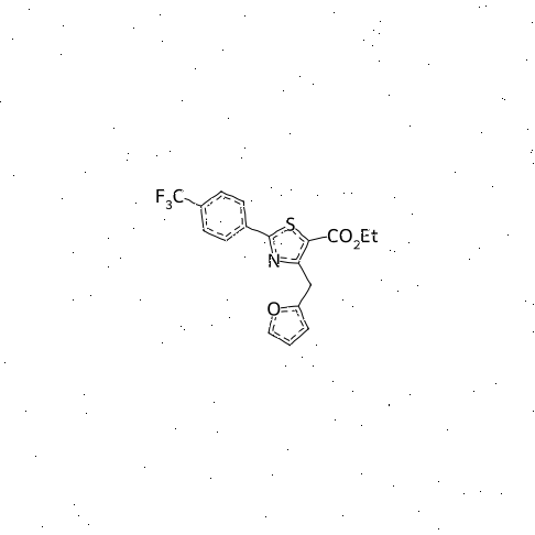 CCOC(=O)c1sc(-c2ccc(C(F)(F)F)cc2)nc1Cc1ccco1